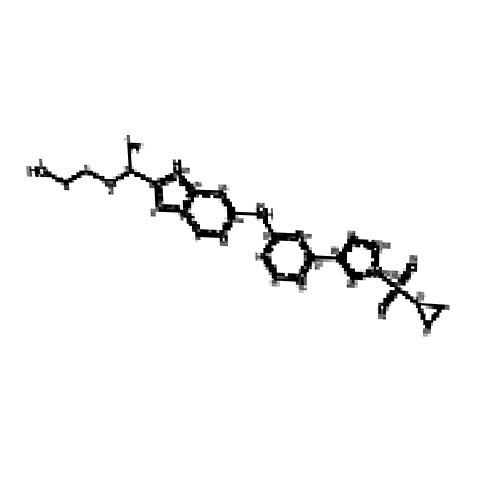 CC(C)C(OCCO)c1nc2cnc(Nc3ccnc(-c4cnn(S(=O)(=O)C5CC5)c4)n3)cc2[nH]1